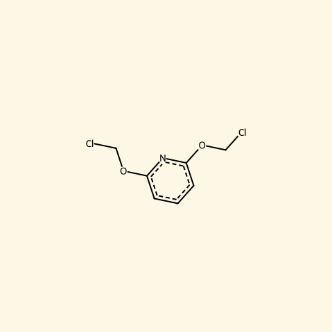 ClCOc1cccc(OCCl)n1